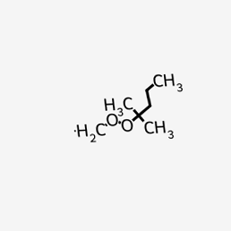 [CH2]OOC(C)(C)CCC